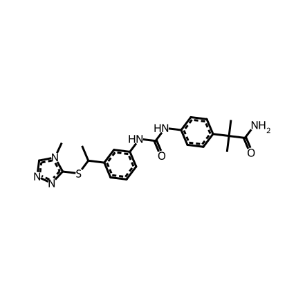 CC(Sc1nncn1C)c1cccc(NC(=O)Nc2ccc(C(C)(C)C(N)=O)cc2)c1